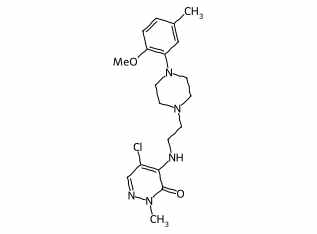 COc1ccc(C)cc1N1CCN(CCNc2c(Cl)cnn(C)c2=O)CC1